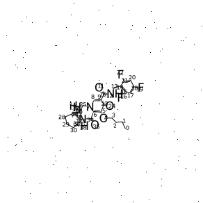 CCCCOc1c2n(cc(C(=O)NCc3c(F)cc(F)cc3F)c1=O)C[C@@H]1[C@@H]3CCC[C@@H](C3)N1C2=O